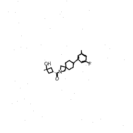 Cc1cc(F)cc(C2CCC3(CC2)CN(C(=O)[C@H]2C[C@@](C)(O)C2)C3)c1